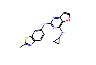 Cc1nc2ccc(Nc3nc(NC4CC4)c4occc4n3)cc2s1